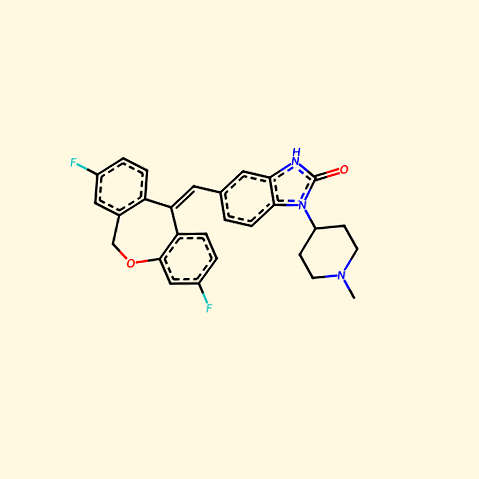 CN1CCC(n2c(=O)[nH]c3cc(C=C4c5ccc(F)cc5COc5cc(F)ccc54)ccc32)CC1